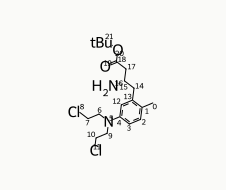 Cc1ccc(N(CCCl)CCCl)cc1C[C@H](N)CC(=O)OC(C)(C)C